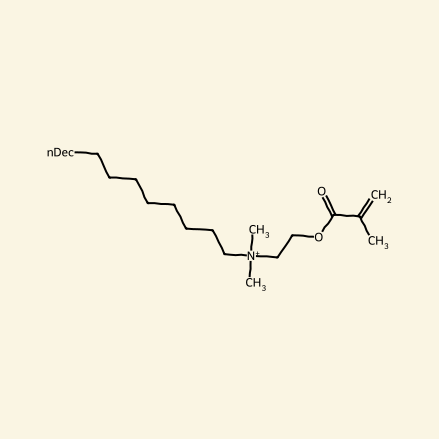 C=C(C)C(=O)OCC[N+](C)(C)CCCCCCCCCCCCCCCCCC